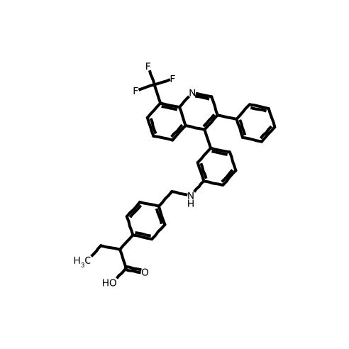 CCC(C(=O)O)c1ccc(CNc2cccc(-c3c(-c4ccccc4)cnc4c(C(F)(F)F)cccc34)c2)cc1